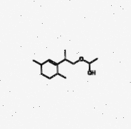 CC1C=C(C(C)COC(C)O)C(C)CC1